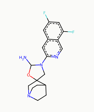 NC1OC2(CN3CCC2CC3)CN1c1cc2cc(F)cc(F)c2cn1